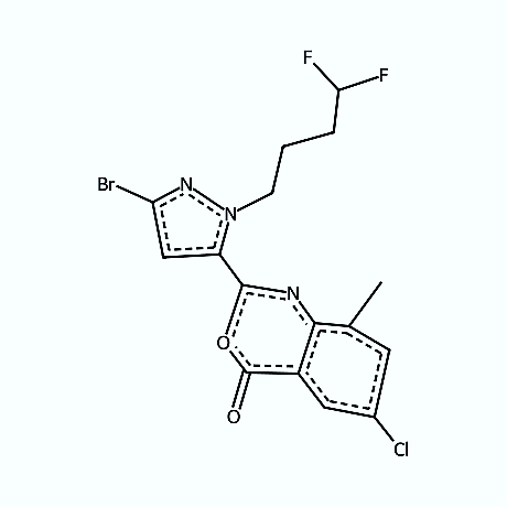 Cc1cc(Cl)cc2c(=O)oc(-c3cc(Br)nn3CCCC(F)F)nc12